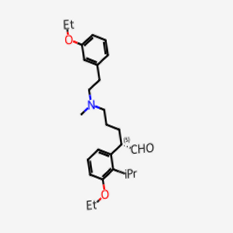 CCOc1cccc(CCN(C)CCC[C@H](C=O)c2cccc(OCC)c2C(C)C)c1